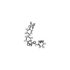 FC(F)(F)Oc1ccc(-c2ccc3onc(OCc4cccnn4)c3c2)cc1